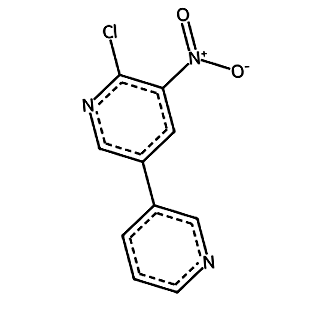 O=[N+]([O-])c1cc(-c2cccnc2)cnc1Cl